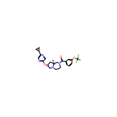 O=C(c1cccc(OC(F)(F)F)c1)N1CCCN2C[C@@H](Oc3cnc(C4CC4)cn3)C[C@@H]2C1